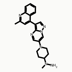 Cc1cc(-c2cnn3cc(N4CCC(N(C)N)CC4)cnc23)c2ccccc2n1